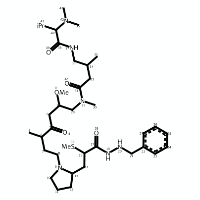 COC(CC(=O)C(C)CCN1CCCC1CC(SC)C(=O)NNCc1ccccc1)CN(C)C(=O)CC(C)CNC(=O)C(C(C)C)N(C)C